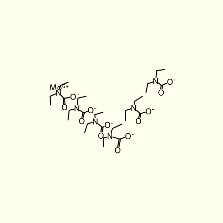 CCN(CC)C(=O)[O-].CCN(CC)C(=O)[O-].CCN(CC)C(=O)[O-].CCN(CC)C(=O)[O-].CCN(CC)C(=O)[O-].CCN(CC)C(=O)[O-].[Mo+6]